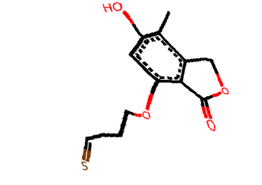 Cc1c(O)cc(OCCC=S)c2c1COC2=O